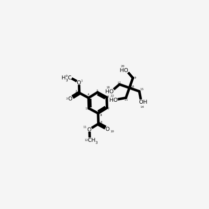 COC(=O)c1cccc(C(=O)OC)c1.OCC(CO)(CO)CO